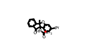 CC(C)c1ccc2c(c1)OC1(C)c3ccccc3C(=O)C21NC(N)=O